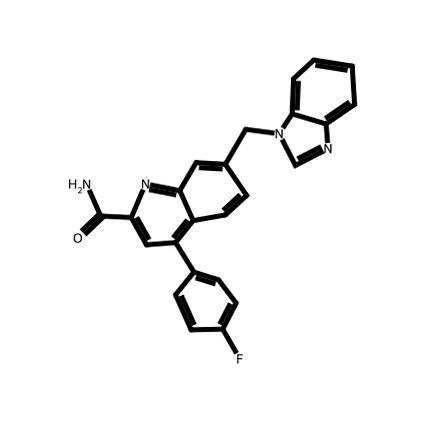 NC(=O)c1cc(-c2ccc(F)cc2)c2ccc(Cn3cnc4ccccc43)cc2n1